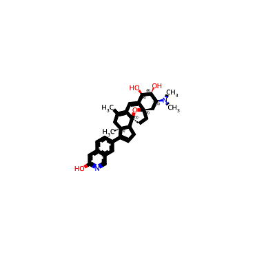 CC1=C2C=C3[C@@H](O)[C@H](O)[C@@H](N(C)C)C[C@]34CC[C@]2(O4)C2CC=C(c3ccc4cc(O)ncc4c3)[C@@]2(C)C1